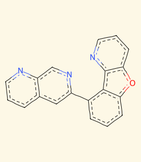 c1cnc2cnc(-c3cccc4oc5cccnc5c34)cc2c1